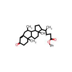 CC(C)OC(=O)CCC(C)C1CCC2C3C(C)CC4=CC(=O)CCC4(C)C3CCC12C